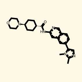 Cc1ncc(-c2ccc3cnc(NC(=O)[C@H]4CC[C@H](N5CCOCC5)CC4)cc3c2)n1C